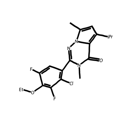 CCOc1c(F)cc(-c2nn3c(C)cc(C(C)C)c3c(=O)n2C)c(Cl)c1F